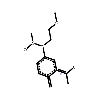 C=c1ccc(N(CCOC)[S+](C)[O-])c/c1=C(/C)Cl